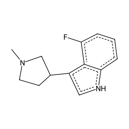 CN1CCC(c2c[nH]c3cccc(F)c23)C1